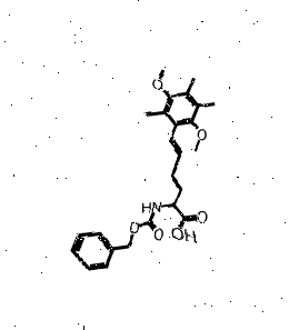 COc1c(C)c(C)c(OC)c(C=CCCC(NC(=O)OCc2ccccc2)C(=O)O)c1C